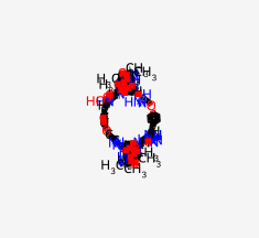 CN[C@@H](C)C(=O)N[C@H](C(=O)N1CCC2[C@H]1C(=O)N[C@@H](Cc1ccc3ccccc3c1)C(=O)N[C@H](c1nnn[nH]1)Cc1ccc(cc1)OC/C(N=N)=C/N[C@@H]1CCN(C(=O)[C@@H](NC(=O)[C@H](C)NC)C(C)(C)C)[C@@H]1C(=O)N[C@@H](Cc1ccc3ccccc3c1)C(=O)N[C@H](C(=O)O)Cc1ccc(cc1)OCc1cn2nn1)C(C)(C)C